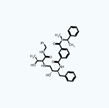 CC(C)CNC(=O)[C@@H](NC[C@@H](O)[C@H](Cc1ccccc1)NC(=O)c1cccc(C(=O)N(C)[C@H](C)c2ccccc2)c1)[C@H](C)O